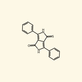 O=C1NC(c2ccccc2)=C2C(=S)NC(c3ccccc3)=C12